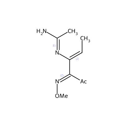 C/C=C(\N=C(/C)N)C(=N/OC)/C(C)=O